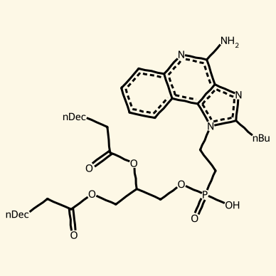 CCCCCCCCCCCC(=O)OCC(COP(=O)(O)CCn1c(CCCC)nc2c(N)nc3ccccc3c21)OC(=O)CCCCCCCCCCC